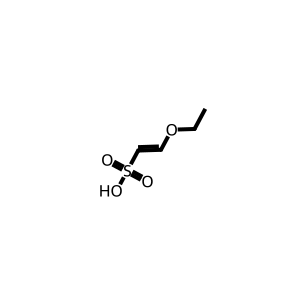 CCOC=CS(=O)(=O)O